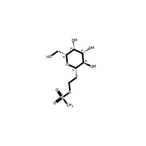 CS(=O)(=O)SCC[C@@H]1O[C@H](CO)[C@H](O)[C@H](O)[C@H]1O